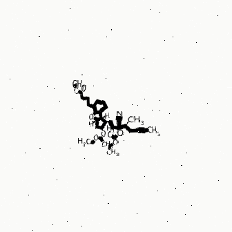 CC#CC[C@@H](C)C(C#N)(/C=C/[C@@H]1[C@H]2c3cccc(CCCC(=O)OC)c3O[C@H]2C[C@H]1OC(C)OCC)OC(C)OCC